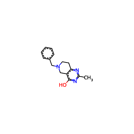 Cc1nc(O)c2c(n1)CCN(Cc1ccccc1)C2